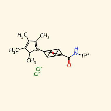 CC1=C(C)C(C)[Si](C23CCC4(C(=O)[NH][Ti+2])C5C46C2C536)=C1C.[Cl-].[Cl-]